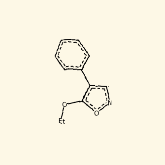 CCOc1on[c]c1-c1ccccc1